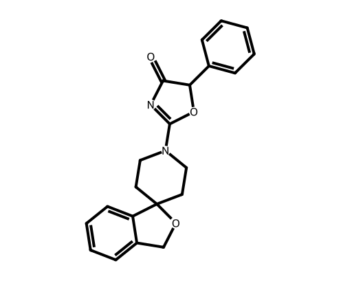 O=C1N=C(N2CCC3(CC2)OCc2ccccc23)OC1c1ccccc1